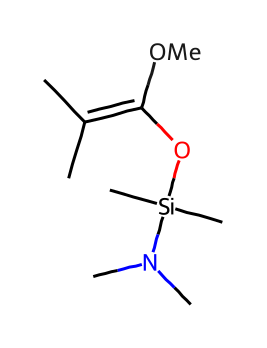 COC(O[Si](C)(C)N(C)C)=C(C)C